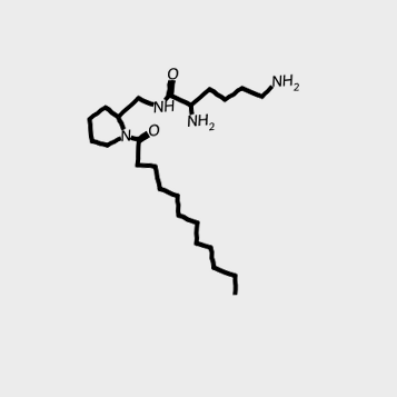 CCCCCCCCCCCC(=O)N1CCCCC1CNC(=O)C(N)CCCCN